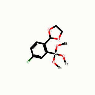 CCO[Si](OCC)(OCC)c1cc(F)ccc1C1OCCO1